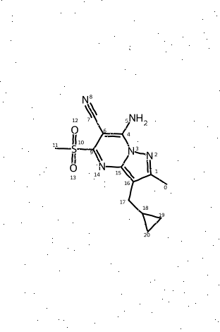 Cc1nn2c(N)c(C#N)c(S(C)(=O)=O)nc2c1CC1CC1